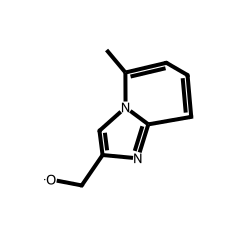 Cc1cccc2nc(C[O])cn12